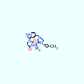 C[C@H]1CN(Cc2ccn3ncc(N4CCC(=O)NC4=O)c3c2)CCN1C[C@H]1C[C@@H](C)C1